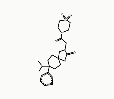 CN(C)C1(c2ccccc2)CCC2(CC1)CN(CC(=O)N1CCS(=O)(=O)CC1)C(=O)N2